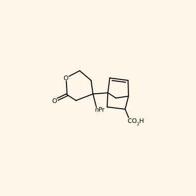 CCCC1(C23C=CC(C2)C(C(=O)O)C3)CCOC(=O)C1